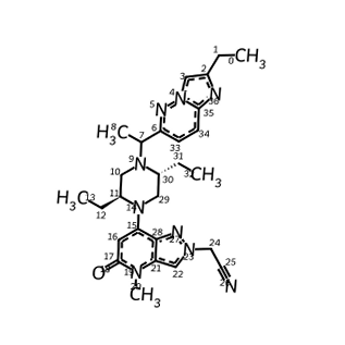 CCc1cn2nc(C(C)N3C[C@H](CC)N(c4cc(=O)n(C)c5cn(CC#N)nc45)C[C@H]3CC)ccc2n1